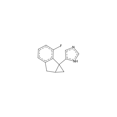 Fc1cccc2c1C1(c3cnc[nH]3)CC1C2